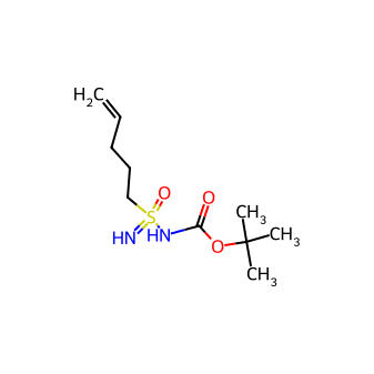 C=CCCCS(=N)(=O)NC(=O)OC(C)(C)C